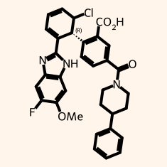 COc1cc2[nH]c(C3=CC=CC(Cl)[C@@H]3c3ccc(C(=O)N4CCC(c5ccccc5)CC4)cc3C(=O)O)nc2cc1F